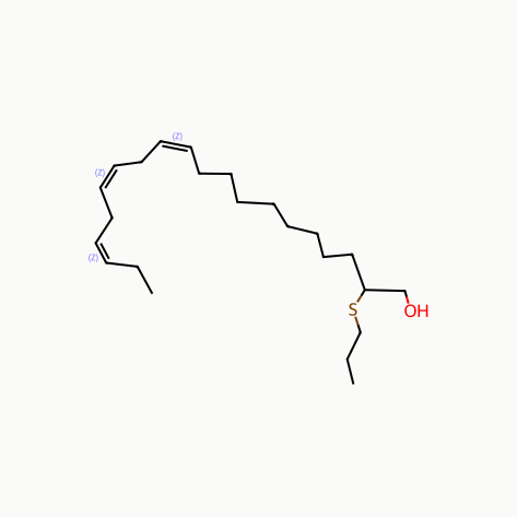 CC/C=C\C/C=C\C/C=C\CCCCCCCCC(CO)SCCC